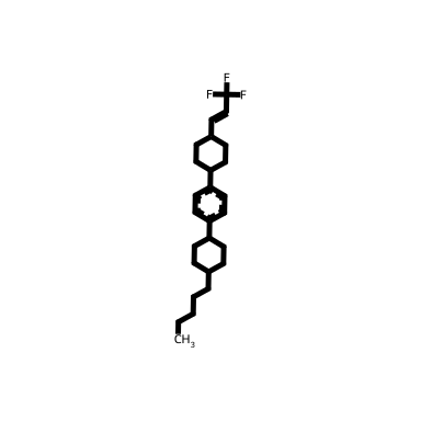 CCCCCC1CCC(c2ccc(C3CCC(C=CC(F)(F)F)CC3)cc2)CC1